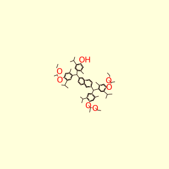 CCOC(C)Oc1cc(C)c(C(c2ccc3cc(C(c4cc(C(C)C)c(OC(C)OCC)cc4C)c4cc(C(C)C)c(OC(C)OCC)cc4C)ccc3c2)c2cc(C(C)C)c(O)cc2C)cc1C(C)C